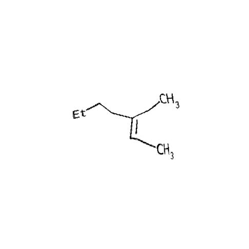 [CH2]CCC(C)=CC